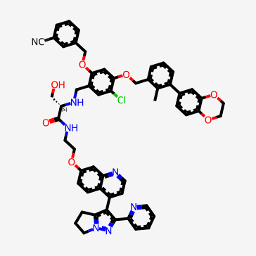 Cc1c(COc2cc(OCc3cccc(C#N)c3)c(CN[C@@H](CO)C(=O)NCCOc3ccc4c(-c5c(-c6ccccn6)nn6c5CCC6)ccnc4c3)cc2Cl)cccc1-c1ccc2c(c1)OCCO2